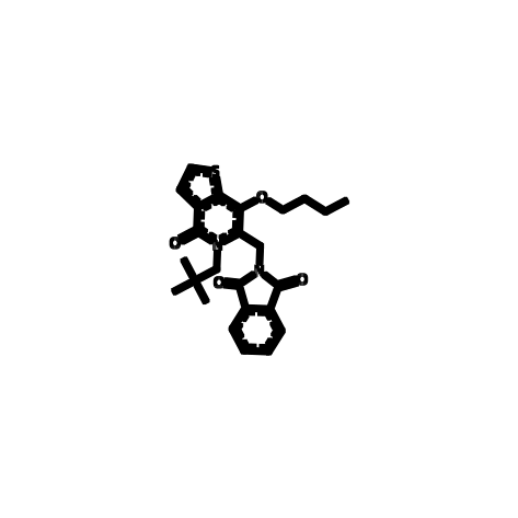 CCCCOc1c(CN2C(=O)c3ccccc3C2=O)n(CC(C)(C)C)c(=O)c2ccsc12